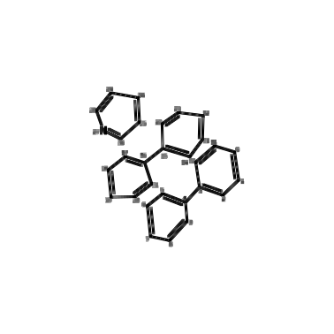 c1ccc(-c2ccccc2)cc1.c1ccc(-c2ccccc2)cc1.c1ccncc1